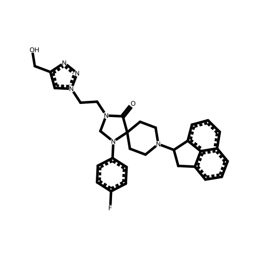 O=C1N(CCn2cc(CO)nn2)CN(c2ccc(F)cc2)C12CCN(C1Cc3cccc4cccc1c34)CC2